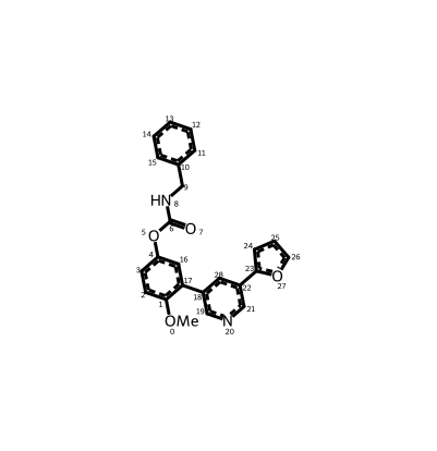 COc1ccc(OC(=O)NCc2ccccc2)cc1-c1cncc(-c2ccco2)c1